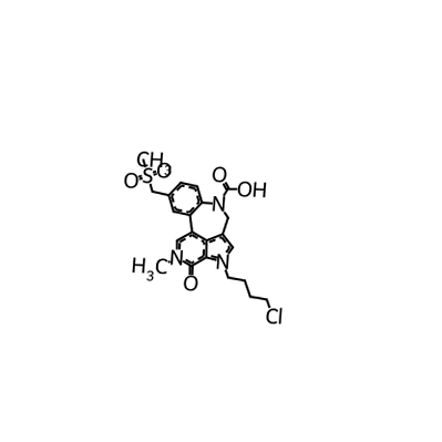 Cn1cc2c3c(cn(CCCCCl)c3c1=O)CN(C(=O)O)c1ccc(CS(C)(=O)=O)cc1-2